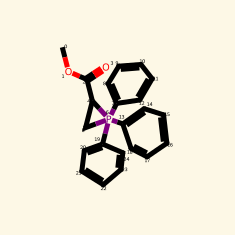 COC(=O)C1CP1(c1ccccc1)(c1ccccc1)c1ccccc1